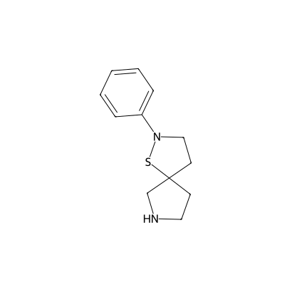 c1ccc(N2CCC3(CCNC3)S2)cc1